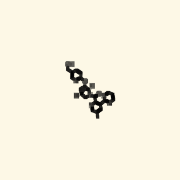 Cc1cnc(C(=O)N2C[C@H]3C[C@@H](Oc4ccc(CO)cn4)[C@@H]2C3)c(-c2ncccn2)c1